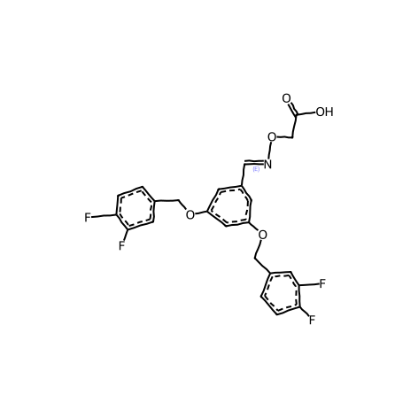 O=C(O)CO/N=C/c1cc(OCc2ccc(F)c(F)c2)cc(OCc2ccc(F)c(F)c2)c1